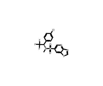 CN([C@H](c1ccc(Cl)cc1)C(F)(F)F)S(=O)(=O)c1cnc2ncsc2c1